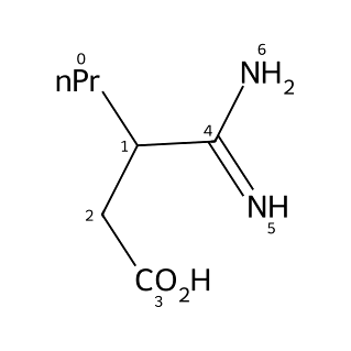 CCCC(CC(=O)O)C(=N)N